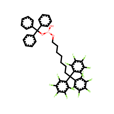 OB(OCCCCCCCC(c1c(F)c(F)c(F)c(F)c1F)(c1c(F)c(F)c(F)c(F)c1F)c1c(F)c(F)c(F)c(F)c1F)OC(c1ccccc1)(c1ccccc1)c1ccccc1